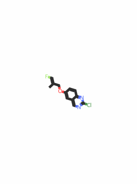 C/C(=C\F)COc1ccc2nc(Cl)ncc2c1